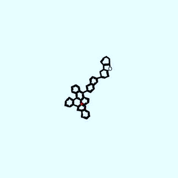 C1=CC2=C(CC1)OC1=CC=C(c3ccc4cc(-c5c6ccccc6c(-c6ccccc6-c6ccc7ccccc7c6)c6ccccc56)ccc4c3)CC12